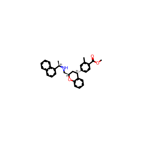 COC(=O)c1ccc([C@H]2C[C@H](CN[C@H](C)c3cccc4ccccc34)Oc3ccccc32)cc1C